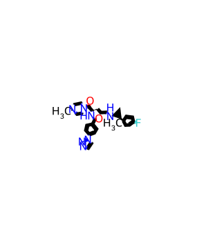 CN1CCN(C(=O)[C@H](CCCN[C@@H]2C[C@H]2C2(C)C=CC(F)=CC2)NC(=O)c2ccc(-n3ccnn3)cc2)CC1